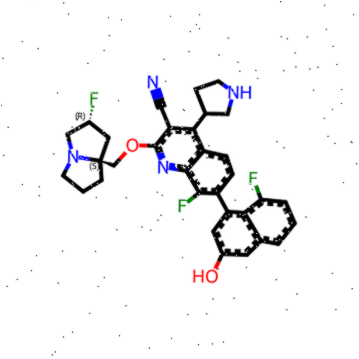 N#Cc1c(OC[C@@]23CCCN2C[C@H](F)C3)nc2c(F)c(-c3cc(O)cc4cccc(F)c34)ccc2c1C1CCNC1